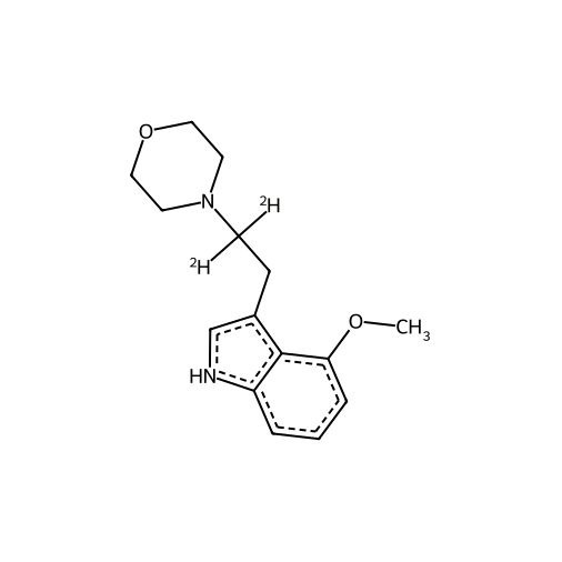 [2H]C([2H])(Cc1c[nH]c2cccc(OC)c12)N1CCOCC1